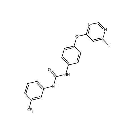 O=C(Nc1ccc(Oc2cc(F)ncn2)cc1)Nc1cccc(C(F)(F)F)c1